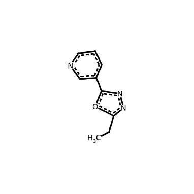 CCc1nnc(-c2cccnc2)o1